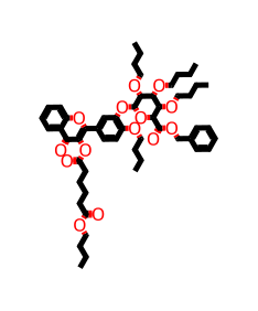 CCCCOC(=O)CCCCC(=O)Oc1c(-c2ccc(OCCCC)c(OC3OC(C(=O)OCc4ccccc4)C(OCCCC)C(OCCCC)C3OCCCC)c2)oc2ccccc2c1=O